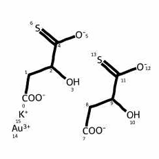 O=C([O-])CC(O)C([O-])=S.O=C([O-])CC(O)C([O-])=S.[Au+3].[K+]